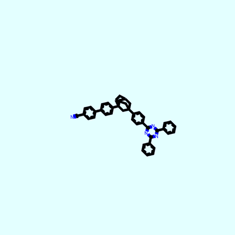 N#Cc1ccc(-c2ccc(C34CC5CC3CC(c3ccc(-c6nc(-c7ccccc7)nc(-c7ccccc7)n6)cc3)(C5)C4)cc2)cc1